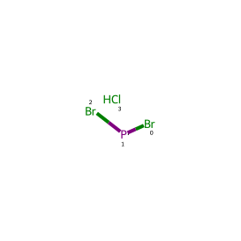 Br[P]Br.Cl